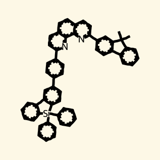 CC1(C)c2ccccc2-c2ccc(-c3ccc4ccc5ccc(-c6ccc(-c7ccc8c(c7)-c7ccccc7[Si]8(c7ccccc7)c7ccccc7)cc6)nc5c4n3)cc21